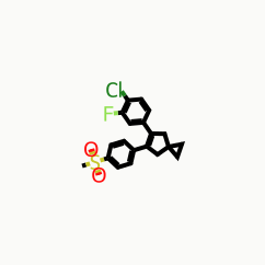 CS(=O)(=O)c1ccc(C2=C(c3ccc(Cl)c(F)c3)CC3(CC3)C2)cc1